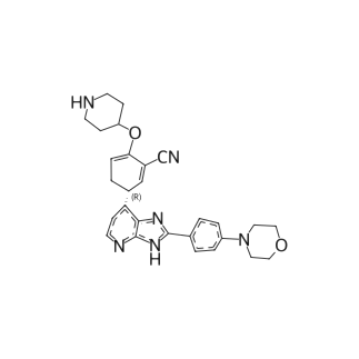 N#CC1=C[C@H](c2ccnc3[nH]c(-c4ccc(N5CCOCC5)cc4)nc23)CC=C1OC1CCNCC1